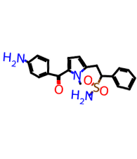 Cn1c(CC(c2ccccc2)S(N)(=O)=O)ccc1C(=O)c1ccc(N)cc1